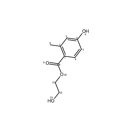 Cc1cc(O)ccc1C(=O)OCCO